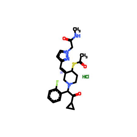 CNC(=O)Cn1ccc(/C=C2/CN(C(C(=O)C3CC3)c3ccccc3F)CCC2SC(C)=O)n1.Cl